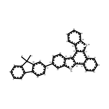 CC1(C)c2ccccc2-c2ccc(-c3ccc4c(c3)oc3c5ccccc5c5sc6ccccc6c5c43)cc21